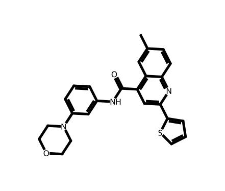 Cc1ccc2nc(-c3cccs3)cc(C(=O)Nc3cccc(N4CCOCC4)c3)c2c1